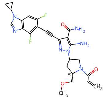 C=CC(=O)N1CC(n2nc(C#Cc3c(F)cc4c(ncn4C4CC4)c3F)c(C(N)=O)c2N)C[C@@H]1COC